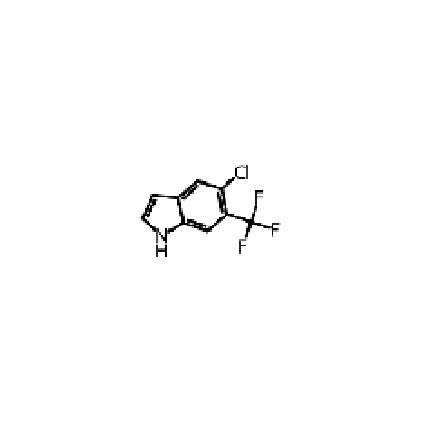 FC(F)(F)c1cc2[nH]ccc2cc1Cl